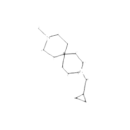 CN1CCC2(CC1)CCN(CC1CC1)CC2